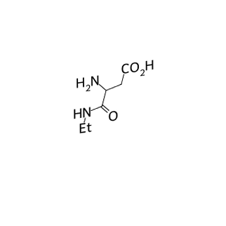 CCNC(=O)C(N)CC(=O)O